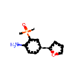 CP(C)(=O)c1cc(-c2ccco2)ccc1N